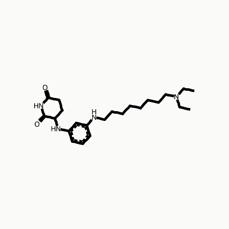 CCN(CC)CCCCCCCCNc1cccc(NC2CCC(=O)NC2=O)c1